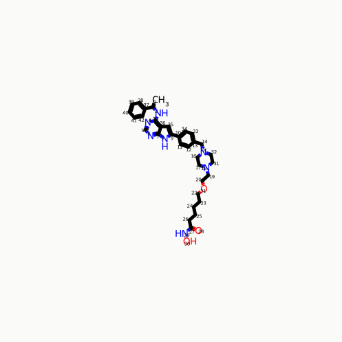 CC(Nc1ncnc2[nH]c(-c3ccc(CN4CCN(CCOCCCCCC(=O)NO)CC4)cc3)cc12)c1ccccc1